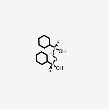 OP(=S)(OOP(O)(=S)C1CCCCC1)C1CCCCC1